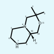 CC1(C)CN2CCNC[C@H]2CO1